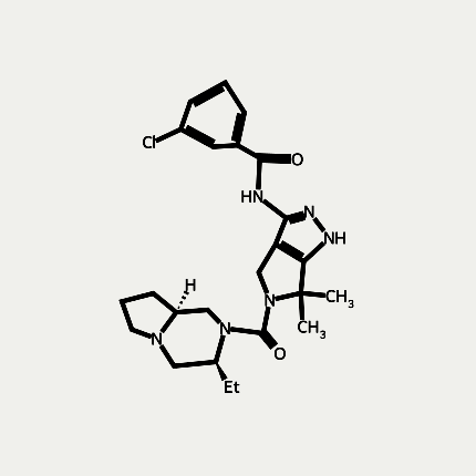 CC[C@H]1CN2CCC[C@H]2CN1C(=O)N1Cc2c(NC(=O)c3cccc(Cl)c3)n[nH]c2C1(C)C